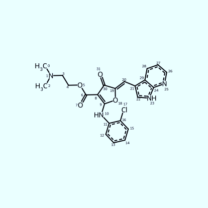 CN(C)CCOC(=O)C1=C(Nc2ccccc2Cl)O/C(=C\c2c[nH]c3ncccc23)C1=O